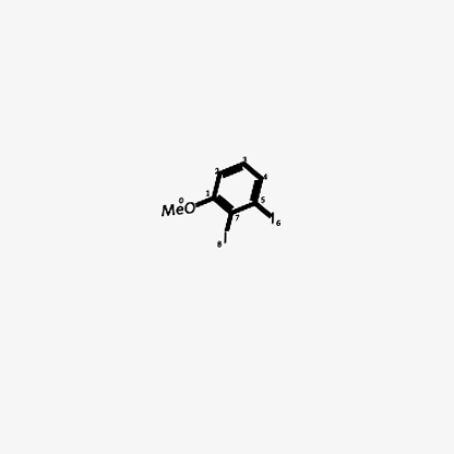 COc1cccc(I)c1I